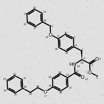 COC(=O)[C@H](Cc1ccc(OCc2ccccc2)cc1)NC(=O)c1ccc(OCCc2ccccc2)cc1